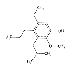 C=CCc1c(CC)cc(O)c(OC)c1CC(C)C